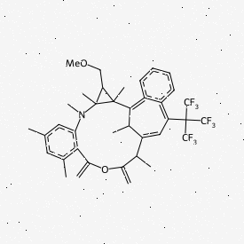 C=C1OC(=C)C(C)C2=CC(C(C(F)(F)F)(C(F)(F)F)C(F)(F)F)=c3ccccc3=C(C2C)C2(C)C(COC)C2(C)N(C)c2cc(C)cc(C)c21